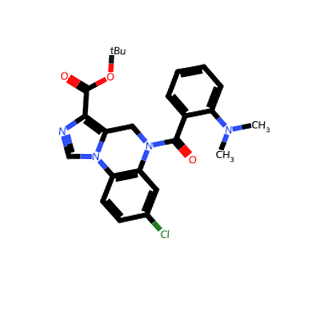 CN(C)c1ccccc1C(=O)N1Cc2c(C(=O)OC(C)(C)C)ncn2-c2ccc(Cl)cc21